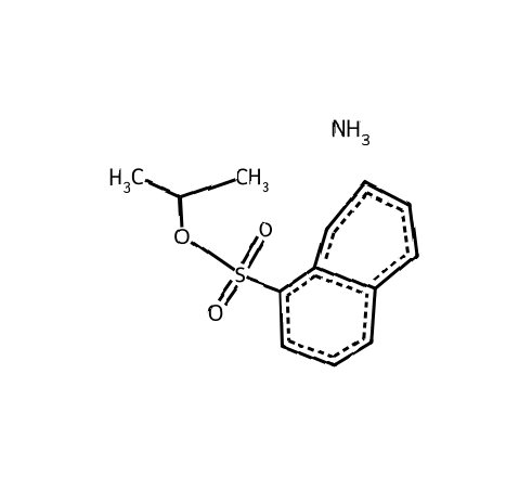 CC(C)OS(=O)(=O)c1cccc2ccccc12.N